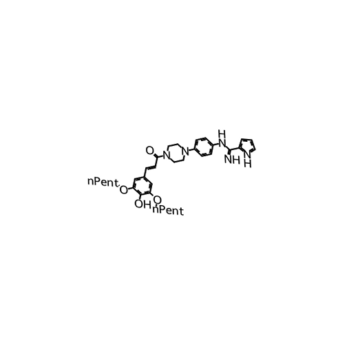 CCCCCOc1cc(C=CC(=O)N2CCN(c3ccc(NC(=N)c4ccc[nH]4)cc3)CC2)cc(OCCCCC)c1O